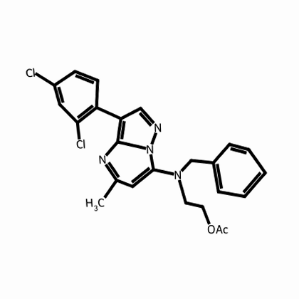 CC(=O)OCCN(Cc1ccccc1)c1cc(C)nc2c(-c3ccc(Cl)cc3Cl)cnn12